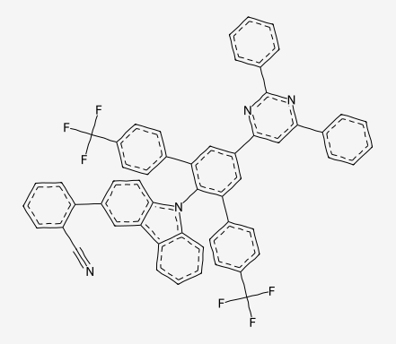 N#Cc1ccccc1-c1ccc2c(c1)c1ccccc1n2-c1c(-c2ccc(C(F)(F)F)cc2)cc(-c2cc(-c3ccccc3)nc(-c3ccccc3)n2)cc1-c1ccc(C(F)(F)F)cc1